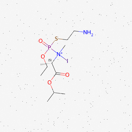 CCOP(=O)(SCCN)[N+](C)(I)[C@@H](C)C(=O)OC(C)C